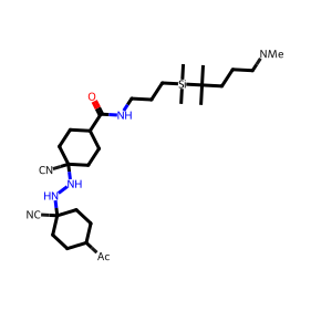 [C-]#[N+]C1(NNC2(C#N)CCC(C(C)=O)CC2)CCC(C(=O)NCCC[Si](C)(C)C(C)(C)CCCNC)CC1